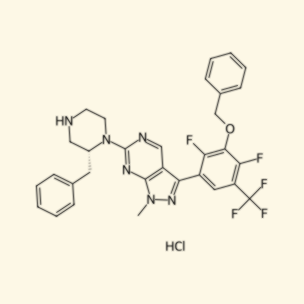 Cl.Cn1nc(-c2cc(C(F)(F)F)c(F)c(OCc3ccccc3)c2F)c2cnc(N3CCNC[C@H]3Cc3ccccc3)nc21